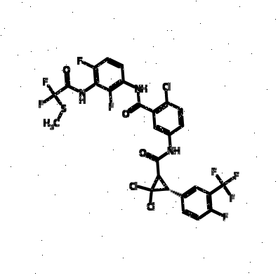 CSC(F)(F)C(=O)Nc1c(F)ccc(NC(=O)c2cc(NC(=O)C3[C@H](c4ccc(F)c(C(F)(F)F)c4)C3(Cl)Cl)ccc2Cl)c1F